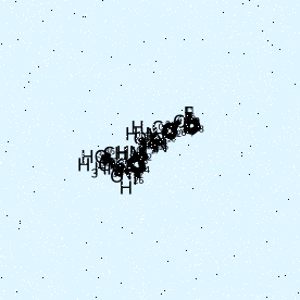 Cc1cc(Oc2ccccc2F)ccc1-n1ncc(C(=O)c2cc3cc(F)c(NS(=O)(=O)NCC(C)(C)O)cc3[nH]2)c1N